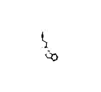 CC#CCCC(=O)ON1[CH]Cc2ccccc21